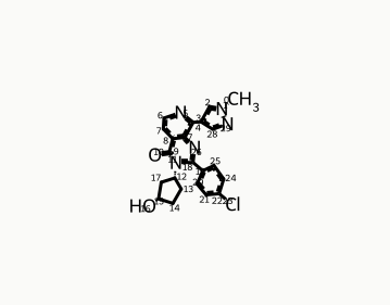 Cn1cc(-c2nccc3c(=O)n([C@@H]4CC[C@H](O)C4)c(-c4ccc(Cl)cc4)nc23)cn1